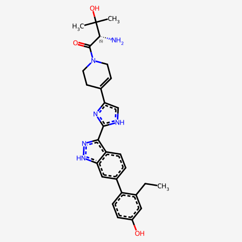 CCc1cc(O)ccc1-c1ccc2c(-c3nc(C4=CCN(C(=O)[C@@H](N)C(C)(C)O)CC4)c[nH]3)n[nH]c2c1